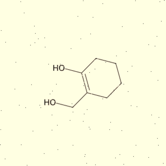 OCC1=C(O)CCCC1